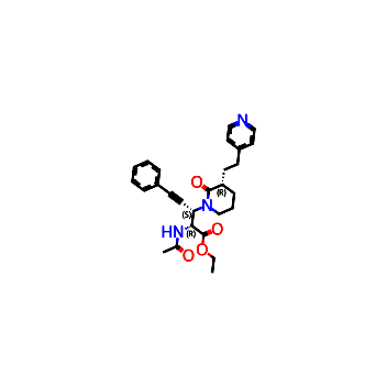 CCOC(=O)[C@H](NC(C)=O)[C@H](C#Cc1ccccc1)N1CCC[C@@H](CCc2ccncc2)C1=O